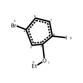 CCOc1cc(Br)ccc1I